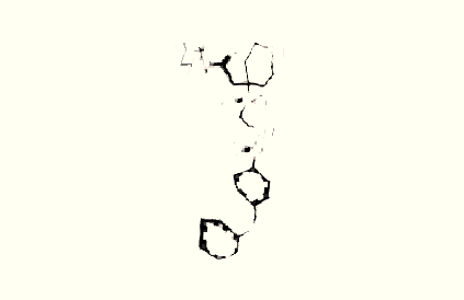 O=C(CC1(S(=O)(=O)CNS(=O)(=O)c2ccc(Oc3ccccc3)cc2)CCNCC1)NO